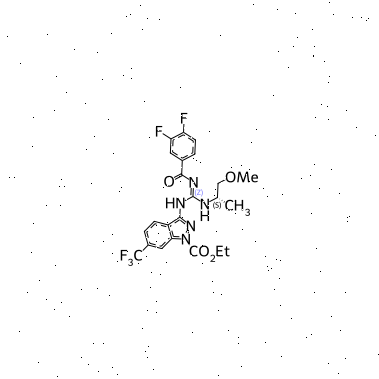 CCOC(=O)n1nc(N/C(=N\C(=O)c2ccc(F)c(F)c2)N[C@@H](C)COC)c2ccc(C(F)(F)F)cc21